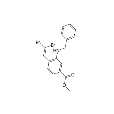 COC(=O)c1ccc(C=C(Br)Br)c(NCc2ccccc2)c1